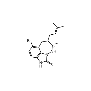 CC(C)=CCC1Cc2c(Br)ccc3[nH]c(=S)n(c23)N[C@H]1C